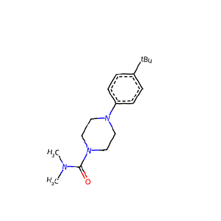 CN(C)C(=O)N1CCN(c2ccc(C(C)(C)C)cc2)CC1